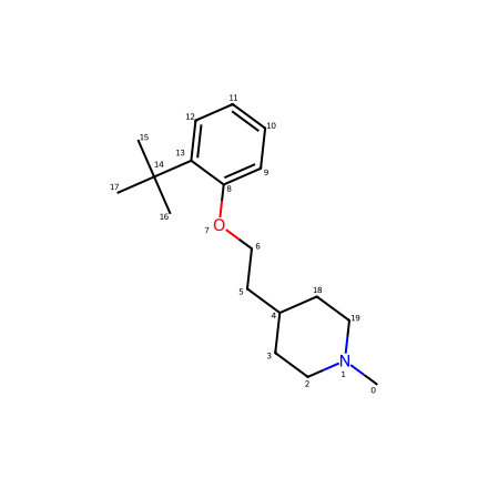 CN1CCC(CCOc2ccccc2C(C)(C)C)CC1